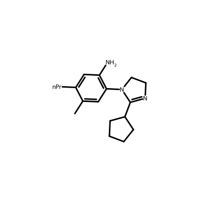 CCCc1cc(N)c(N2CCN=C2C2CCCC2)cc1C